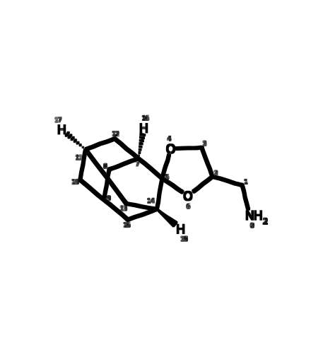 NCC1COC2(O1)[C@H]1CC3C[C@@H](C1)C[C@H]2C3